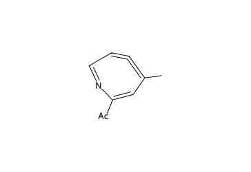 CC(=O)C1=CC(C)=C=CC=N1